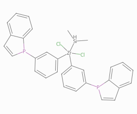 C[SiH](C)[Zr]([Cl])([Cl])([c]1cccc(-p2ccc3ccccc32)c1)[c]1cccc(-p2ccc3ccccc32)c1